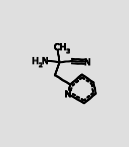 CC(N)(C#N)Cc1ccccn1